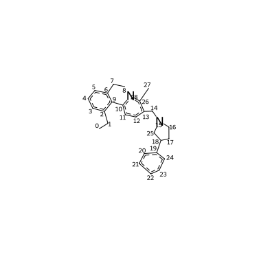 CCc1cccc(CC)c1-c1ccc(CN2CCC(c3ccccc3)C2)c(C)n1